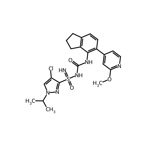 COc1cc(-c2ccc3c(c2NC(=O)NS(=N)(=O)c2nn(C(C)C)cc2Cl)CCC3)ccn1